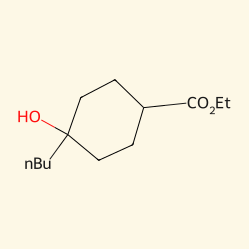 CCCCC1(O)CCC(C(=O)OCC)CC1